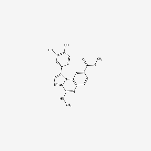 CNc1nc2ccc(C(=O)OC)cc2n2c(-c3ccc(O)c(O)c3)cnc12